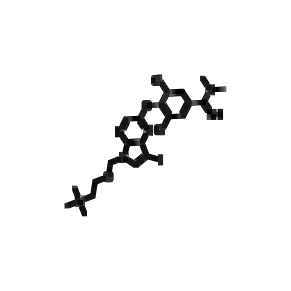 CN(C)C(=N)c1cc(Cl)c(Oc2cnc3c(n2)c(I)cn3COCC[Si](C)(C)C)c(Cl)c1